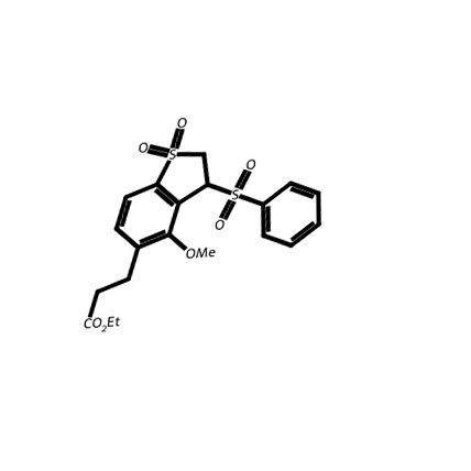 CCOC(=O)CCc1ccc2c(c1OC)C(S(=O)(=O)c1ccccc1)CS2(=O)=O